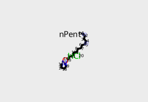 CCCCC/C=C\C/C=C\CCCCCCCCON1CCCC1.Cl